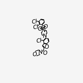 O=C(c1cc2c(Cl)c(N3CCN(S(=O)(=O)c4cccc(Cl)c4Cl)CC3)ccc2o1)N1CCOCC1